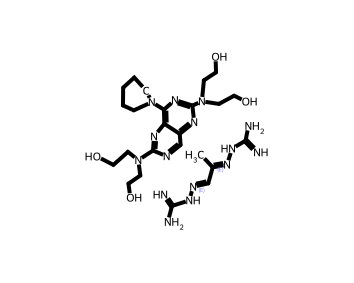 CC(/C=N/NC(=N)N)=N\NC(=N)N.OCCN(CCO)c1nc(N2CCCCC2)c2nc(N(CCO)CCO)ncc2n1